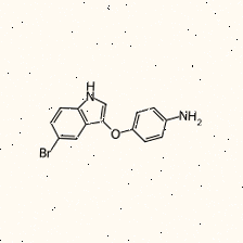 Nc1ccc(Oc2c[nH]c3ccc(Br)cc23)cc1